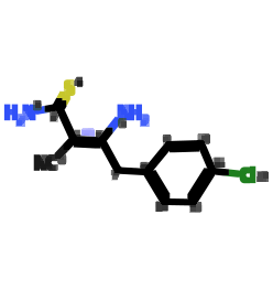 N#C/C(C(N)=S)=C(/N)Cc1ccc(Cl)cc1